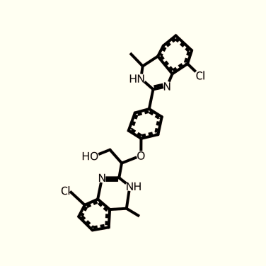 CC1NC(c2ccc(OC(CO)C3=Nc4c(Cl)cccc4C(C)N3)cc2)=Nc2c(Cl)cccc21